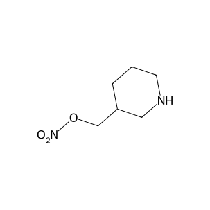 O=[N+]([O-])OCC1CCCNC1